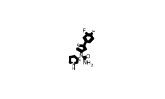 NC(=O)N(c1csc(-c2ccc(F)c(F)c2)c1)[C@H]1CCCNC1